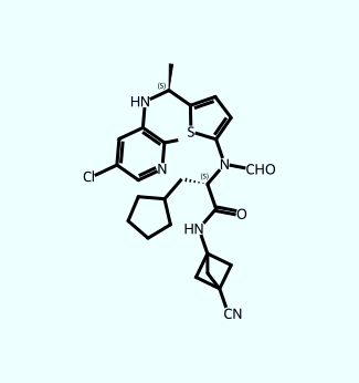 Cc1ncc(Cl)cc1N[C@@H](C)c1ccc(N(C=O)[C@@H](CC2CCCC2)C(=O)NC23CC(C#N)(C2)C3)s1